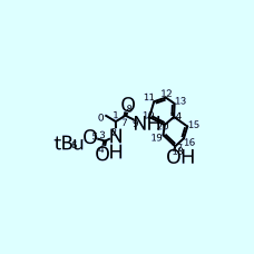 CC(NC(=O)OC(C)(C)C)C(=O)Nc1cccc2ccc(O)cc12